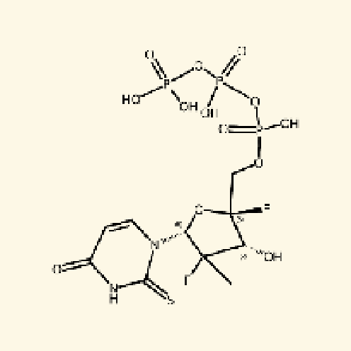 CC1(F)[C@@H](O)[C@@](F)(COP(=O)(O)OP(=O)(O)OP(=O)(O)O)O[C@H]1n1ccc(=O)[nH]c1=S